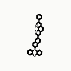 c1ccc(-c2cnc3c(ccc4cc(-c5ccc6cc(N7c8ccccc8Oc8ccccc87)ccc6c5)cnc43)c2)cc1